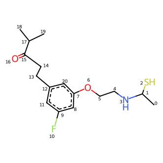 CC(S)NCCOc1cc(F)cc(CCC(=O)C(C)C)c1